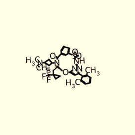 Cc1cccc(C)c1-c1cc2nc(n1)NS(=O)(=O)c1cccc(c1)C(=O)N(C1CC(N(C)C)C1)[C@H](CC1(C(F)(F)F)CC1)CO2